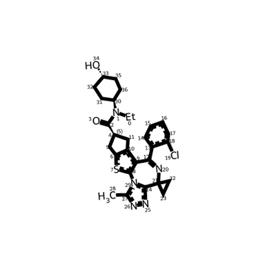 CCN(C(=O)[C@@H]1Cc2sc3c(c2C1)C(c1ccccc1Cl)=NC1(CC1)c1nnc(C)n1-3)[C@H]1CC[C@H](O)CC1